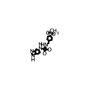 CS(=O)(=O)c1ccc(CNc2c(Nc3ccc4[nH]cnc4c3)c(=O)c2=O)cc1